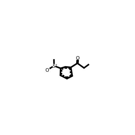 CCC(=O)c1cccc([S+](C)[O-])c1